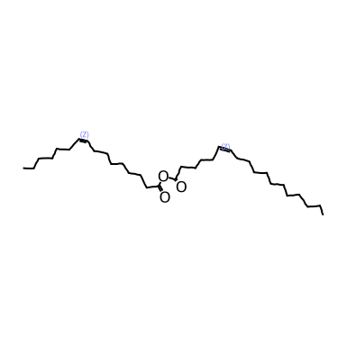 CCCCCC/C=C\CCCCCCCC(=O)OC(=O)CCCC/C=C\CCCCCCCCCCC